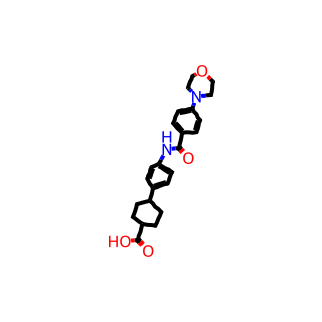 O=C(Nc1ccc(C2CCC(C(=O)O)CC2)cc1)c1ccc(N2CCOCC2)cc1